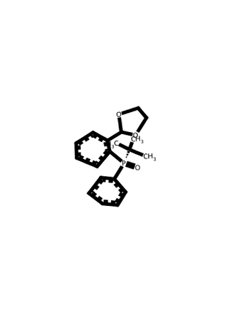 CC(C)(C)[P@](=O)(c1ccccc1)c1ccccc1C1OCCO1